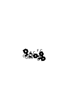 COC(=O)C(c1ccccc1)N1CCN(c2ccc(NC(=O)c3ccccc3-c3ccc(C(F)(F)F)cc3)cc2C(F)(F)F)CC1